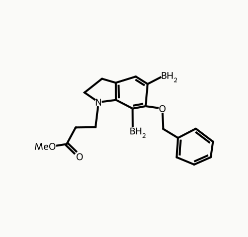 Bc1cc2c(c(B)c1OCc1ccccc1)N(CCC(=O)OC)CC2